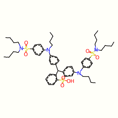 CCCCN(c1ccc(C(c2ccc(N(CCCC)c3ccc(S(=O)(=O)N(CCCC)CCCC)cc3)cc2)c2ccccc2S(=O)(=O)O)cc1)c1ccc(S(=O)(=O)N(CCCC)CCCC)cc1